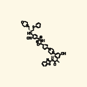 CC(C(=O)Nc1nc2ccccc2s1)c1cc(O)cc(N2CCN(c3ccc(C(=O)NS(=O)(=O)c4ccc(N[C@H](CCN5CCOCC5)CSc5ccccc5)c(N=O)c4)cc3)CC2)c1